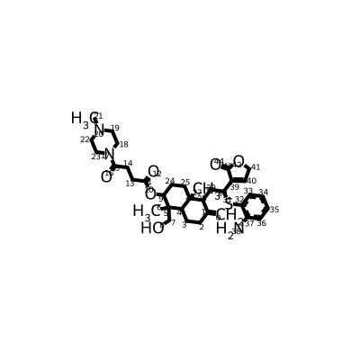 C=C1CCC2C(C)(CO)C(OC(=O)CCC(=O)N3CCN(C)CC3)CCC2(C)C1CC(Sc1ccccc1N)C1=CCOC1=O